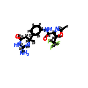 Cc1nc(C(=O)Nc2cccc(C3(C)CC(=O)NC(N)=N3)c2)c(C(F)(F)F)o1